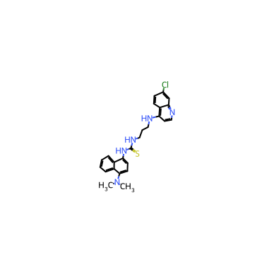 CN(C)c1ccc(NC(=S)NCCCNc2ccnc3cc(Cl)ccc23)c2ccccc12